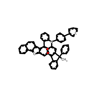 CC1(c2ccccc2)c2ccccc2-c2ccc(N(c3ccc(-c4ccccc4)cc3)c3ccccc3-c3cccc4oc5c6ccccc6ccc5c34)cc21